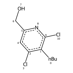 CCCCc1c(Cl)cc(CO)nc1Cl